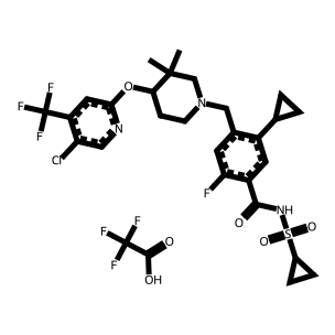 CC1(C)CN(Cc2cc(F)c(C(=O)NS(=O)(=O)C3CC3)cc2C2CC2)CCC1Oc1cc(C(F)(F)F)c(Cl)cn1.O=C(O)C(F)(F)F